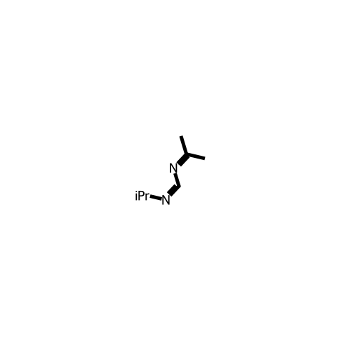 CC(C)=N/C=N\C(C)C